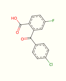 O=C(O)c1ccc(F)cc1C(=O)c1ccc(Cl)cc1